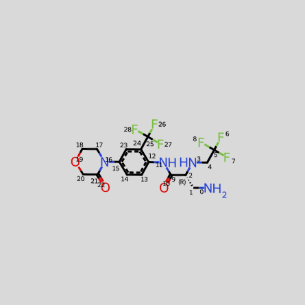 NC[C@@H](NCC(F)(F)F)C(=O)Nc1ccc(N2CCOCC2=O)cc1C(F)(F)F